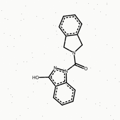 O=C(N1Cc2ccccc2C1)n1nc(O)c2ccccc21